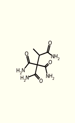 CC(C(N)=O)C(C(N)=O)(C(N)=O)C(N)=O